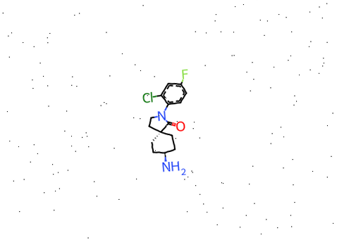 N[C@H]1CC[C@@]2(CCN(c3ccc(F)cc3Cl)C2=O)CC1